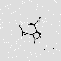 Cn1ncc(C(=O)O)c1C1CC1F.[K]